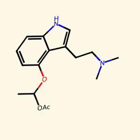 CC(=O)OC(C)Oc1cccc2[nH]cc(CCN(C)C)c12